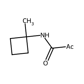 CC(=O)C(=O)NC1(C)CCC1